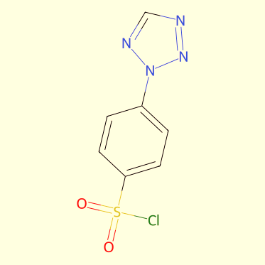 O=S(=O)(Cl)c1ccc(-n2ncnn2)cc1